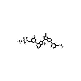 CS(=O)(=O)NCc1cc(F)cc(-c2cncc3[nH]c(-c4n[nH]c5ccc(-c6cncc(N)c6)cc45)cc23)c1